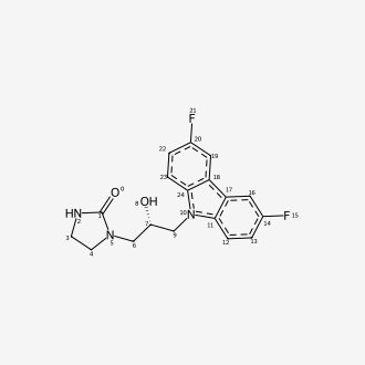 O=C1NCCN1C[C@H](O)Cn1c2ccc(F)cc2c2cc(F)ccc21